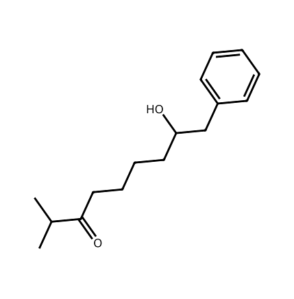 CC(C)C(=O)CCCCC(O)Cc1ccccc1